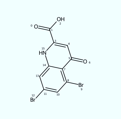 O=C(O)c1cc(=O)c2c(Br)cc(Br)cc2[nH]1